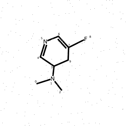 CN(C)C1C=NC=C(F)C1